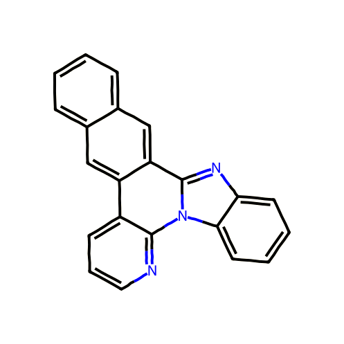 c1ccc2cc3c(cc2c1)c1cccnc1n1c2ccccc2nc31